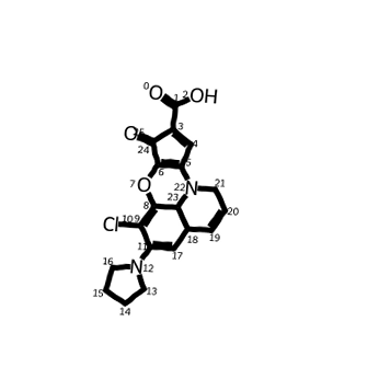 O=C(O)C1=CC2=C(OC3=C(Cl)C(N4CCCC4)=CC4C=CCN2C34)C1=O